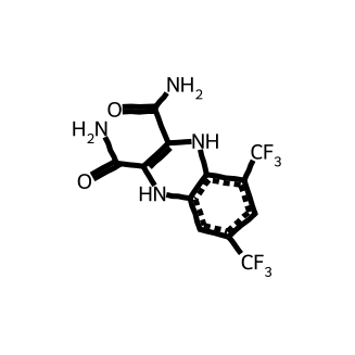 NC(=O)C1=C(C(N)=O)Nc2c(cc(C(F)(F)F)cc2C(F)(F)F)N1